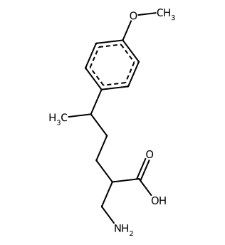 COc1ccc(C(C)CCC(CN)C(=O)O)cc1